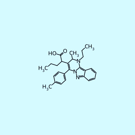 CCCC(C(=O)O)C1=C(c2ccc(C)cc2)n2nc3ccccc3c2N(CCC)C1C